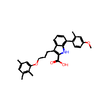 COc1ccc(-c2cccc3c(CCCOc4cc(C)cc(C)c4C)c(C(=O)O)[nH]c23)c(C)c1